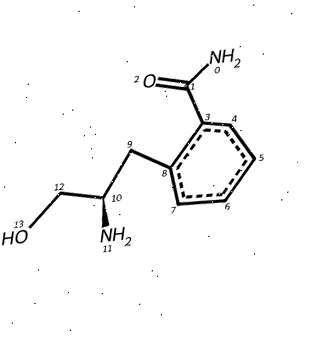 NC(=O)c1ccccc1C[C@@H](N)CO